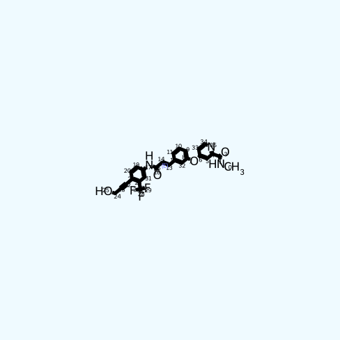 CNC(=O)c1cc(Oc2cccc(/C=C/C(=O)Nc3ccc(C#CCO)c(C(F)(F)F)c3)c2)ccn1